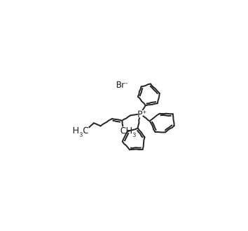 CCCC=C(C)C[P+](c1ccccc1)(c1ccccc1)c1ccccc1.[Br-]